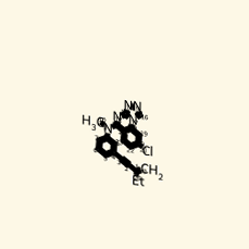 C=C(C#Cc1cccc(N(C)c2nc3nncn3c3cc(Cl)ccc23)c1)CC